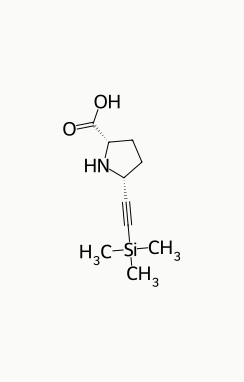 C[Si](C)(C)C#C[C@H]1CC[C@@H](C(=O)O)N1